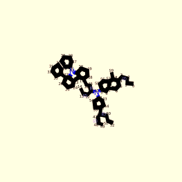 C=C/C=C\c1ccc2cc(N(C(/C=C\C)=C/Cc3cccc4c3c3cccc(-c5ccccc5)c3n4-c3ccccc3)c3ccc(C(/C=C\C)=C/C=C)cc3)ccc2c1C